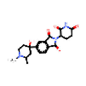 CC1CC(O)(c2ccc3c(c2)C(=O)N(C2CCC(=O)NC2=O)C3=O)CCN1C(=O)O